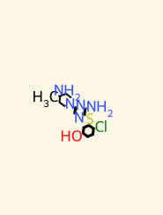 CC1(N)CCN(c2cnc(Sc3cc(O)ccc3Cl)c(N)n2)CC1